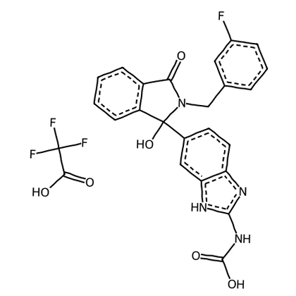 O=C(O)C(F)(F)F.O=C(O)Nc1nc2ccc(C3(O)c4ccccc4C(=O)N3Cc3cccc(F)c3)cc2[nH]1